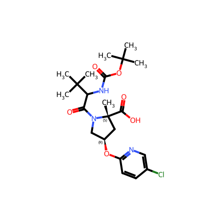 CC(C)(C)OC(=O)NC(C(=O)N1C[C@H](Oc2ccc(Cl)cn2)C[C@@]1(C)C(=O)O)C(C)(C)C